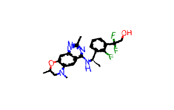 Cc1nc(N[C@H](C)c2cccc(C(F)(F)CO)c2F)c2cc3c(cc2n1)OC(C)CN3C